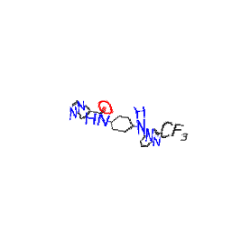 O=C(NC1CCC(Nc2cccc3nc(C(F)(F)F)cn23)CC1)c1ccc2nccn2c1